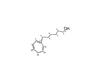 OCCCCCCC1=CC=CCC=C1